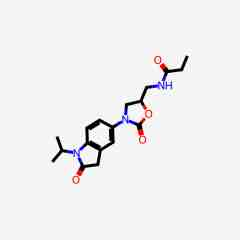 CCC(=O)NCC1CN(c2ccc3c(c2)CC(=O)N3C(C)C)C(=O)O1